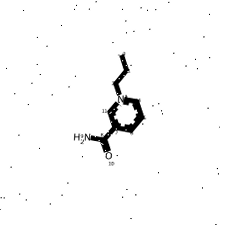 [CH2]CC[n+]1cccc(C(N)=O)c1